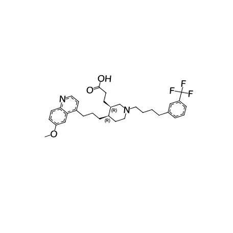 COc1ccc2nccc(CCC[C@@H]3CCN(CCCCc4cccc(C(F)(F)F)c4)C[C@@H]3CCC(=O)O)c2c1